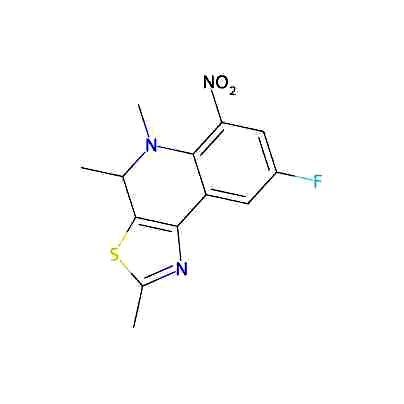 Cc1nc2c(s1)C(C)N(C)c1c-2cc(F)cc1[N+](=O)[O-]